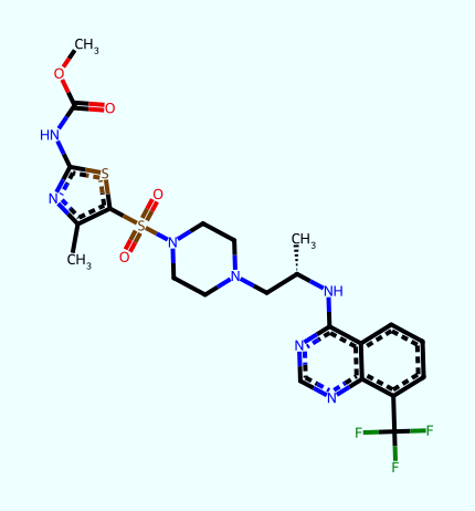 COC(=O)Nc1nc(C)c(S(=O)(=O)N2CCN(C[C@H](C)Nc3ncnc4c(C(F)(F)F)cccc34)CC2)s1